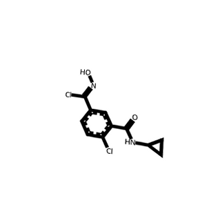 O=C(NC1CC1)c1cc(C(Cl)=NO)ccc1Cl